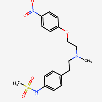 CN(CCOc1ccc([N+](=O)[O-])cc1)CCc1ccc(NS(C)(=O)=O)cc1